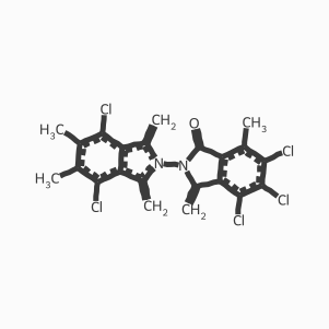 C=C1c2c(Cl)c(Cl)c(Cl)c(C)c2C(=O)N1n1c(=C)c2c(Cl)c(C)c(C)c(Cl)c2c1=C